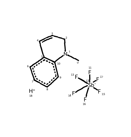 CN1CC=Cc2ccccc21.[F][Sb-]([F])([F])([F])([F])[F].[H+]